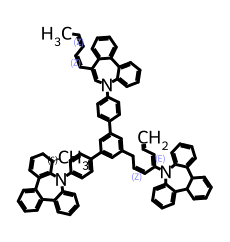 C=C/C=C(\C=C/Cc1cc(-c2ccc(N3C=C(/C=C\C=C/C)c4ccccc4-c4ccccc43)cc2)cc(-c2ccc(N3C4=C(C=CC[C@@H]4C)c4ccccc4-c4ccccc43)cc2)c1)N1c2ccccc2C2C=CC=CC2c2ccccc21